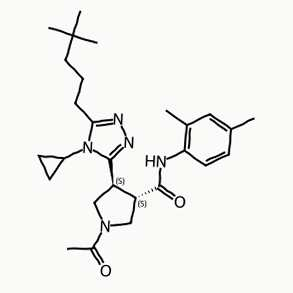 CC(=O)N1C[C@@H](C(=O)Nc2ccc(C)cc2C)[C@H](c2nnc(CCCC(C)(C)C)n2C2CC2)C1